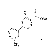 COC(=O)c1ncc(-c2cccc(C(F)(F)F)c2)cc1Cl